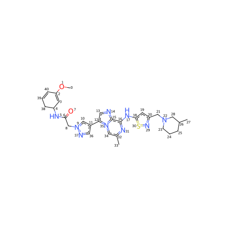 COC1=CC(NC(=O)Cn2cc(-c3cnc4c(Nc5cc(CN6CCCC(C)C6)ns5)nc(C)cn34)cn2)CC=C1